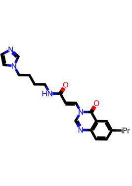 CC(C)c1ccc2ncn(/C=C/C(=O)NCCCCn3ccnc3)c(=O)c2c1